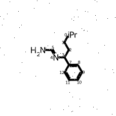 CC(C)CCC(/N=C/N)c1ccccc1